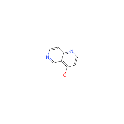 [O]c1ccnc2ccncc12